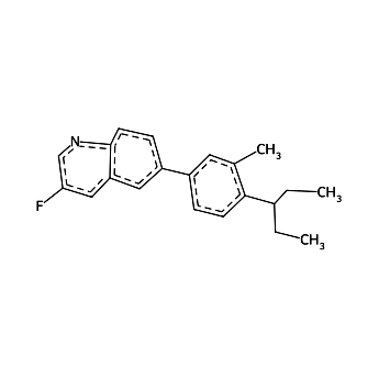 CCC(CC)c1ccc(-c2ccc3ncc(F)cc3c2)cc1C